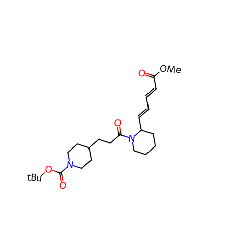 COC(=O)/C=C/C=C/C1CCCCN1C(=O)CCC1CCN(C(=O)OC(C)(C)C)CC1